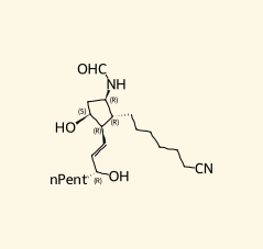 CCCCC[C@@H](O)C=C[C@@H]1[C@@H](CCCCCCC#N)[C@H](NC=O)C[C@@H]1O